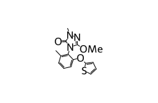 COc1nn(C)c(=O)n1-c1c(C)cccc1Oc1cccs1